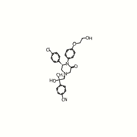 C[C@@](O)(CN1CC(=O)N(c2ccc(OCCO)cc2)[C@H](c2ccc(Cl)cc2)C1)c1ccc(C#N)cc1